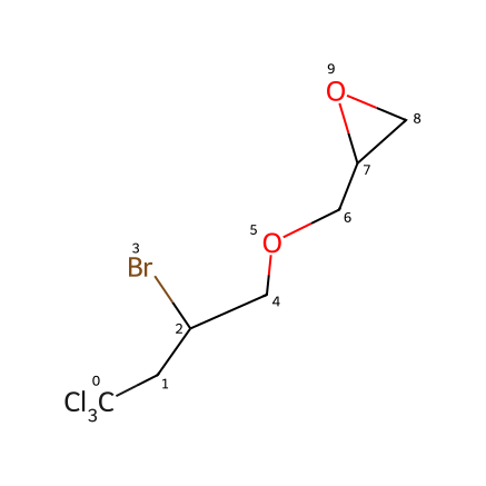 ClC(Cl)(Cl)CC(Br)COCC1CO1